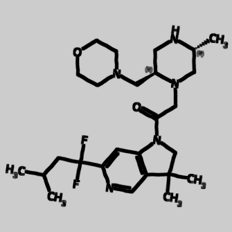 CC(C)CC(F)(F)c1cc2c(cn1)C(C)(C)CN2C(=O)CN1C[C@@H](C)NC[C@@H]1CN1CCOCC1